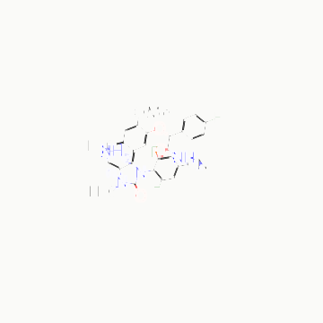 C=c1cc(OC)c(OC(C(N)=O)c2ccc(F)cc2)c/c1=c1/c(=C\N)n(C)c(=O)n1-c1c(F)cc(C#N)cc1F